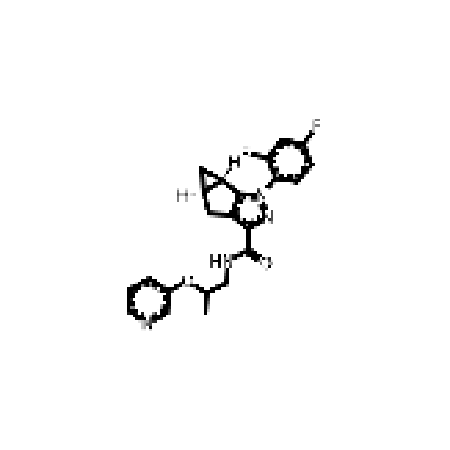 CC(CNC(=O)c1nn(-c2ccc(F)cc2F)c2c1C[C@H]1C[C@@H]21)Oc1cccnc1